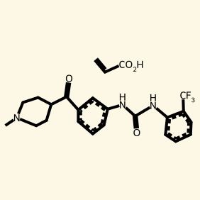 C=CC(=O)O.CN1CCC(C(=O)c2cccc(NC(=O)Nc3ccccc3C(F)(F)F)c2)CC1